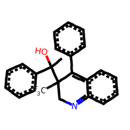 CC(O)(c1ccccc1)C1(C(F)(F)F)CN=c2ccccc2=C1c1ccccc1